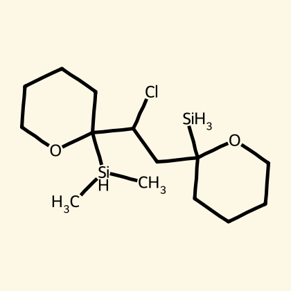 C[SiH](C)C1(C(Cl)CC2([SiH3])CCCCO2)CCCCO1